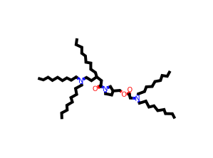 CCCCCCCCCC(CCN(CCCCCCCCC)CCCCCCCCC)CC(=O)N1CCC(COC(=O)CN(CCCCCCCCC)CCCCCCCCC)C1